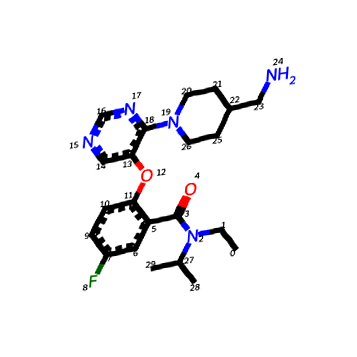 CCN(C(=O)c1cc(F)ccc1Oc1cncnc1N1CCC(CN)CC1)C(C)C